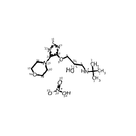 CC(C)(C)NC[C@H](O)COc1nsnc1N1CCOCC1.O=[N+]([O-])O